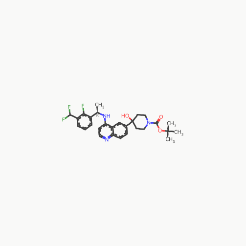 C[C@@H](Nc1ccnc2ccc(C3(O)CCN(C(=O)OC(C)(C)C)CC3)cc12)c1cccc(C(F)F)c1F